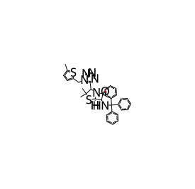 Cc1ccc(Cn2nnnc2C2N3C(=O)C(NC(c4ccccc4)(c4ccccc4)c4ccccc4)[C@H]3SC2(C)C)s1